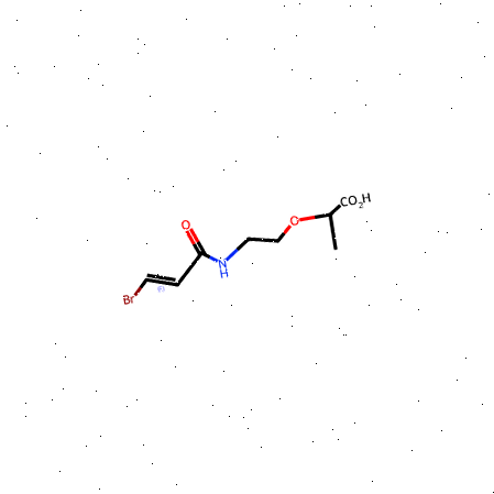 CC(OCCNC(=O)/C=C/Br)C(=O)O